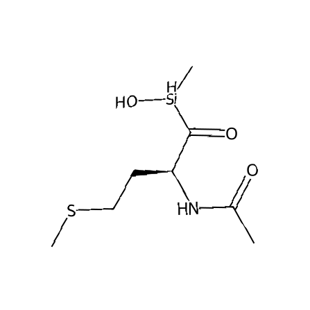 CSCC[C@H](NC(C)=O)C(=O)[SiH](C)O